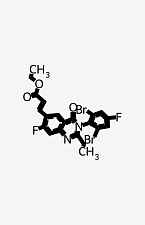 CCOC(=O)C=Cc1cc2c(=O)n(-c3c(Br)cc(F)cc3Br)c(CC)nc2cc1F